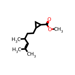 COC(=O)C1CC1CCC(C)C=C(C)C